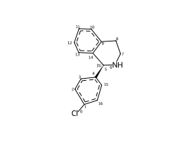 Clc1ccc([C@@H]2NCCc3ccccc32)cc1